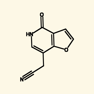 N#CCc1c[nH]c(=O)c2ccoc12